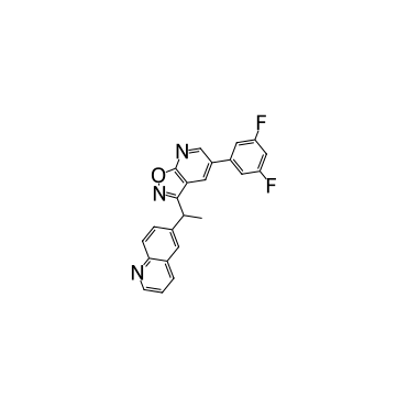 CC(c1ccc2ncccc2c1)c1noc2ncc(-c3cc(F)cc(F)c3)cc12